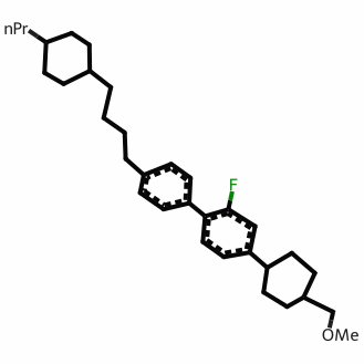 CCCC1CCC(CCCCc2ccc(-c3ccc(C4CCC(COC)CC4)cc3F)cc2)CC1